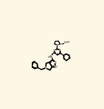 COC[C@@H]1CCCN1c1nc(Nc2n[nH]c3c2CN(Cc2ccccc2)C3)cc(-c2ccccc2)n1